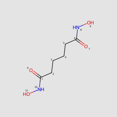 O=C(CCCCC(=O)NO)NO